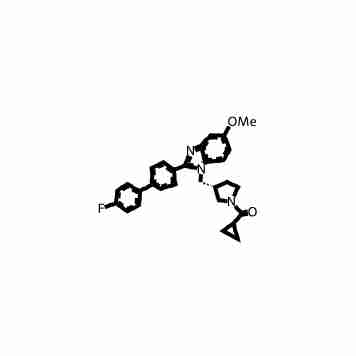 COc1ccc2c(c1)nc(-c1ccc(-c3ccc(F)cc3)cc1)n2C[C@@H]1CCN(C(=O)C2CC2)C1